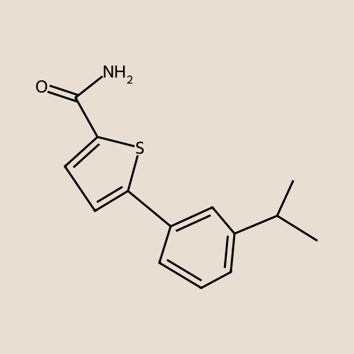 CC(C)c1cccc(-c2ccc(C(N)=O)s2)c1